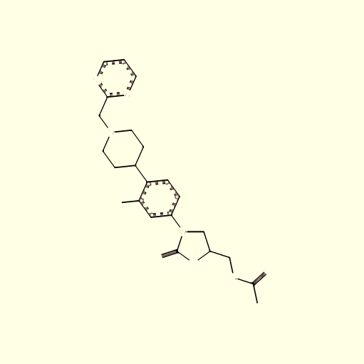 CC(=S)NCC1CN(c2ccc(C3CCN(Cc4ncccn4)CC3)c(F)c2)C(=O)O1